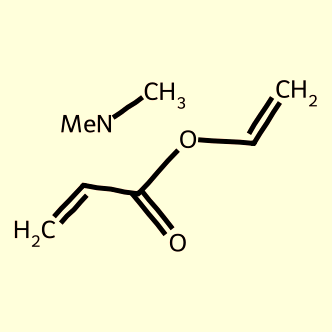 C=COC(=O)C=C.CNC